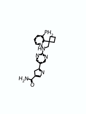 NC(=O)C1=CN=C(c2cnc(NCC3(c4ncccc4P)CCC3)nc2)C1